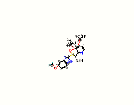 [2H]C([2H])([2H])Oc1ccnc(C[S+]([O-])c2nc3cc(OC(F)F)ccc3[nH]2)c1OC([2H])([2H])[2H].[NaH]